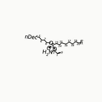 C=CCN.CCCCCCCCCCCCCCOS(=O)(=O)CCCCCCCCF